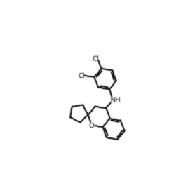 Clc1ccc(NC2CC3(CCCC3)Oc3ccccc32)cc1Cl